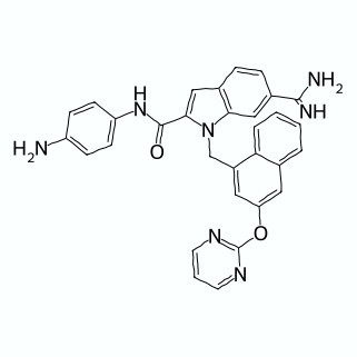 N=C(N)c1ccc2cc(C(=O)Nc3ccc(N)cc3)n(Cc3cc(Oc4ncccn4)cc4ccccc34)c2c1